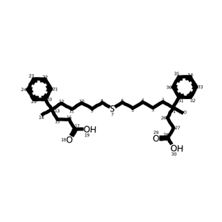 CC(CCCCCSCCCCCC(C)(CCC(=O)O)c1ccccc1)(CCC(=O)O)c1ccccc1